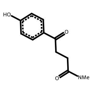 CNC(=O)CCC(=O)c1ccc(O)cc1